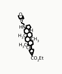 CCOC(=O)C1C2C=C(C3=CCC4(C)C(CCC5(C)C6CCC7(NCCN8CC9CC8CO9)CCC[C@@H]7C6CCC54)C3(C)C)CC21